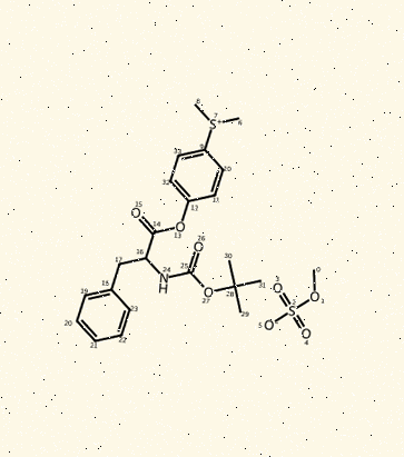 COS(=O)(=O)[O-].C[S+](C)c1ccc(OC(=O)C(Cc2ccccc2)NC(=O)OC(C)(C)C)cc1